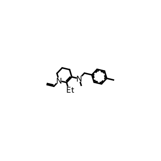 C=CN1CCCC(N(C)Cc2ccc(C)cc2)=C1CC